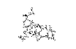 CCS(=O)(=O)c1ccc(NC2CC2)nc1-c1nc2cc(C(F)(F)F)n(C)c(=O)c2n1C